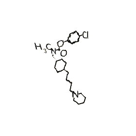 CN(C[C@H]1CC[C@H](CCCCN2CCCCC2)CC1)C(=O)Oc1ccc(Cl)cc1